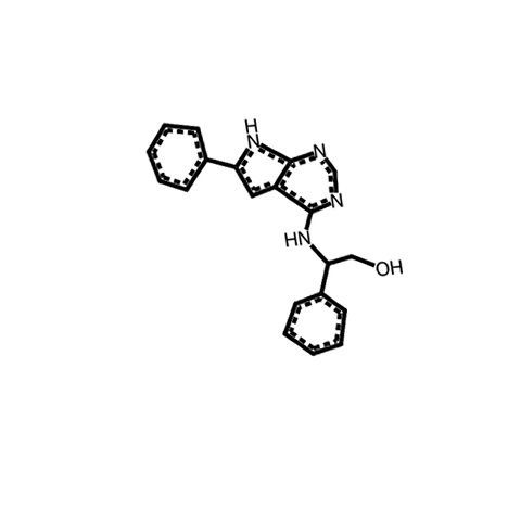 OCC(Nc1ncnc2[nH]c(-c3ccccc3)cc12)c1ccccc1